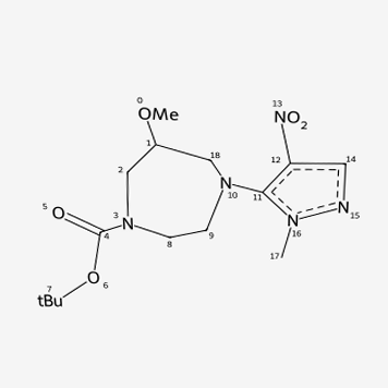 COC1CN(C(=O)OC(C)(C)C)CCN(c2c([N+](=O)[O-])cnn2C)C1